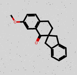 COc1ccc2c(c1)C(=O)C1(CC2)Cc2ccccc2C1